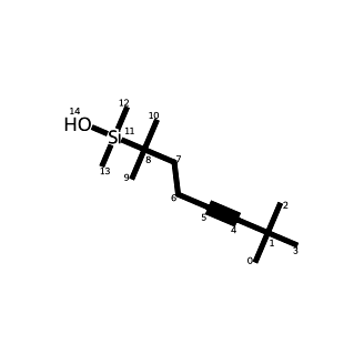 CC(C)(C)C#CCCC(C)(C)[Si](C)(C)O